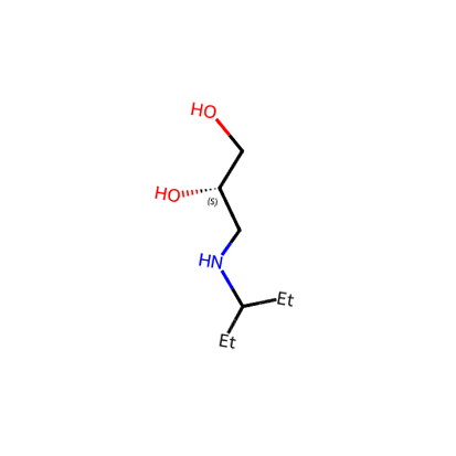 CCC(CC)NC[C@H](O)CO